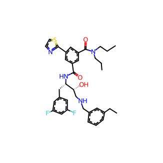 CCCN(CCC)C(=O)c1cc(C(=O)N[C@@H](Cc2cc(F)cc(F)c2)[C@H](O)CNCc2cccc(CC)c2)cc(-c2nccs2)c1